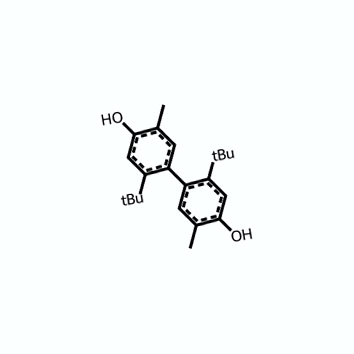 Cc1cc(-c2cc(C)c(O)cc2C(C)(C)C)c(C(C)(C)C)cc1O